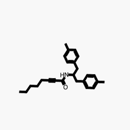 CCCCCC#CC(=O)NC(Cc1ccc(C)cc1)Cc1ccc(C)cc1